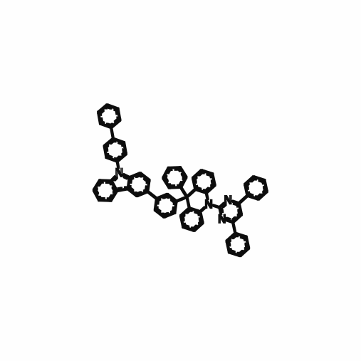 c1ccc(-c2ccc(-n3c4ccccc4c4cc(-c5cccc(C6(c7ccccc7)c7ccccc7N(c7nc(-c8ccccc8)cc(-c8ccccc8)n7)c7ccccc76)c5)ccc43)cc2)cc1